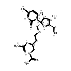 CC(=O)OCC(CCOC[C@@]1(n2ccc(N)nc2=O)O[C@H](CO)[C@@H](O)[C@H]1O)OC(C)=O